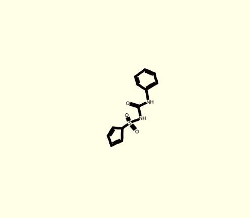 O=C(Nc1ccccc1)NS(=O)(=O)C1C=CC=C1